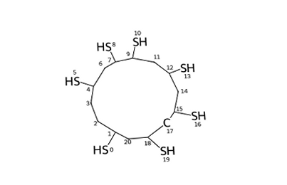 SC1CCC(S)CC(S)C(S)CC(S)CC(S)CC(S)C1